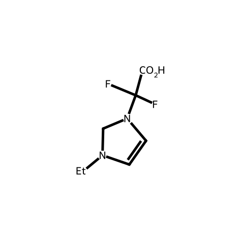 CCN1C=CN(C(F)(F)C(=O)O)C1